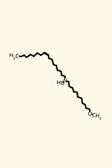 CCCCCCCC/C=C\CCCCCCCCN(O)CCCCCCCCCCCOC